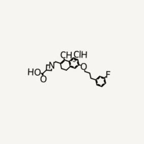 CC1=C(CN2CC(C(=O)O)C2)CCc2cc(OCCCc3cccc(F)c3)ccc21.Cl